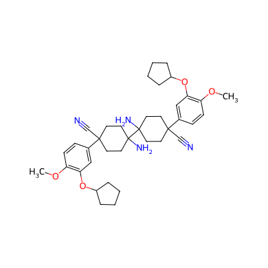 COc1ccc(C2(C#N)CCC(N)(C3(N)CCC(C#N)(c4ccc(OC)c(OC5CCCC5)c4)CC3)CC2)cc1OC1CCCC1